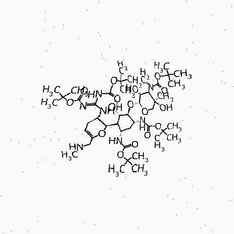 CNCC1=CC[C@@H](N/C(=N/C(=O)OC(C)(C)C)NC(=O)OC(C)(C)C)[C@@H](C2[C@@H](NC(=O)OC(C)(C)C)C[C@@H](NC(=O)OC(C)(C)C)[C@H](O[C@H]3OC[C@](C)(O)[C@H](N(C)C(=O)OC(C)(C)C)[C@H]3O)[C@H]2O)O1